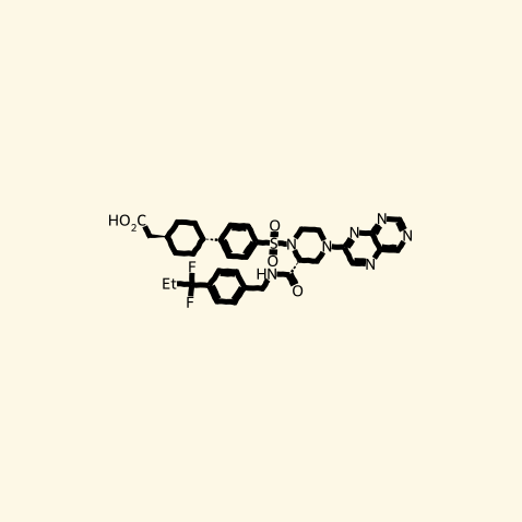 CCC(F)(F)c1ccc(CNC(=O)[C@H]2CN(c3cnc4cncnc4n3)CCN2S(=O)(=O)c2ccc([C@H]3CC[C@H](CC(=O)O)CC3)cc2)cc1